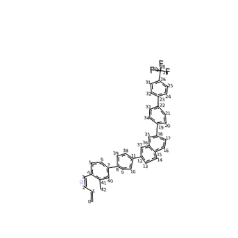 C=C/C=C\c1ccc(-c2ccc(-c3ccc4ccc(-c5ccc(-c6ccc(C(F)(F)F)cc6)cc5)cc4c3)cc2)cc1C